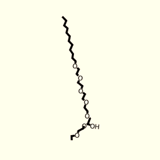 CCCCCCCCCCCCOCCOCCOCCOCCOCC(O)OCCOCC